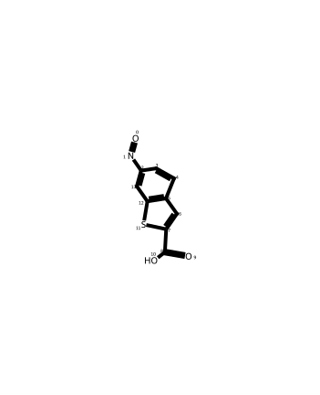 O=Nc1ccc2cc(C(=O)O)sc2c1